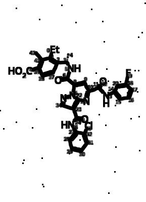 CCc1c([C@H](C)NC(=O)c2cc(C(=O)Nc3cccc(F)c3)nc3c(C(=O)Nc4ccccc4Cl)cnn23)ccc(C(=O)O)c1C